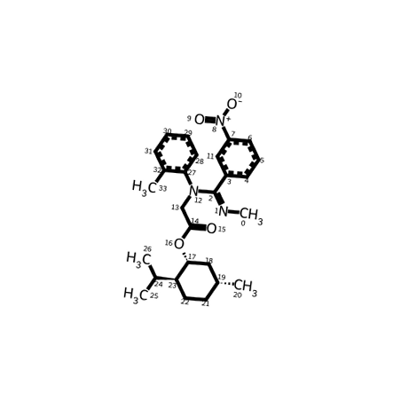 C/N=C(\c1cccc([N+](=O)[O-])c1)N(CC(=O)O[C@@H]1C[C@H](C)CC[C@H]1C(C)C)c1ccccc1C